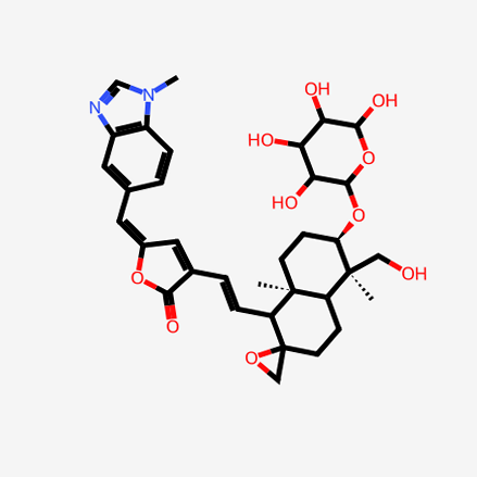 Cn1cnc2cc(/C=C3C=C(/C=C/C4C5(CCC6[C@]4(C)CC[C@@H](OC4OC(O)C(O)C(O)C4O)[C@@]6(C)CO)CO5)C(=O)O\3)ccc21